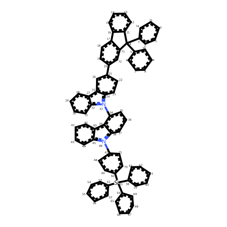 c1ccc(C2(c3ccccc3)c3ccccc3-c3ccc(-c4ccc5c(c4)c4ccccc4n5-c4cccc5c4c4ccccc4n5-c4ccc([Si](c5ccccc5)(c5ccccc5)c5ccccc5)cc4)cc32)cc1